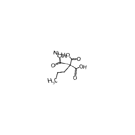 CCCC(C(=O)O)(C(=O)O)C(=O)O.[Ni]